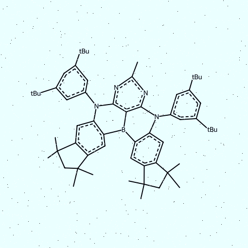 Cc1nc2c3c(n1)N(c1cc(C(C)(C)C)cc(C(C)(C)C)c1)c1cc4c(cc1B3c1cc3c(cc1N2c1cc(C(C)(C)C)cc(C(C)(C)C)c1)C(C)(C)CC3(C)C)C(C)(C)CC4(C)C